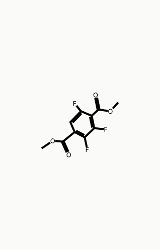 COC(=O)c1cc(F)c(C(=O)OC)c(F)c1F